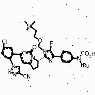 CC(C)(C)N(C(=O)O)c1ccc(-c2nc([C@@H]3CCc4cc(-c5cc(Cl)ccc5-n5cc(C#N)nn5)cc(=O)n43)n(COCC[Si](C)(C)C)c2F)cc1